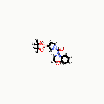 CC1(C)OB(C2=CCN(C(=O)N3CCOc4ccccc43)C2)OC1(C)C